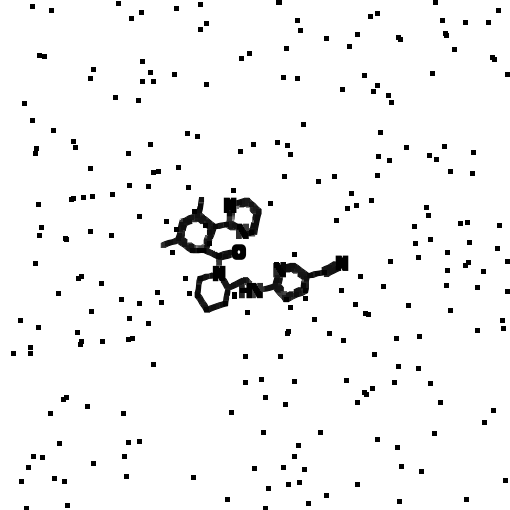 Cc1cc(C)c(-c2ncccn2)c(C(=O)N2CCCCC2CNc2ccc(C#N)cn2)c1